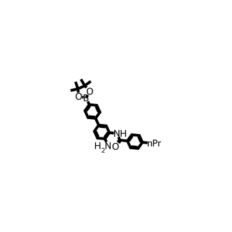 CCCc1ccc(C(=O)Nc2cc(-c3ccc(B4OC(C)(C)C(C)(C)O4)cc3)ccc2N)cc1